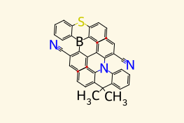 CC1(C)c2ccccc2N(c2c(C#N)cccc2-c2cccc(C#N)c2B2c3ccccc3Sc3ccccc32)c2ccccc21